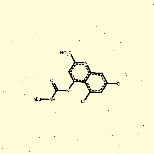 CCCCNC(=O)Nc1cc(C(=O)O)nc2cc(Cl)cc(Cl)c12